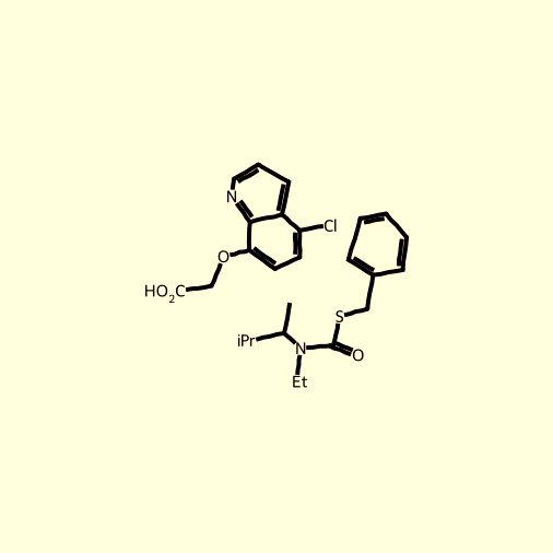 CCN(C(=O)SCc1ccccc1)C(C)C(C)C.O=C(O)COc1ccc(Cl)c2cccnc12